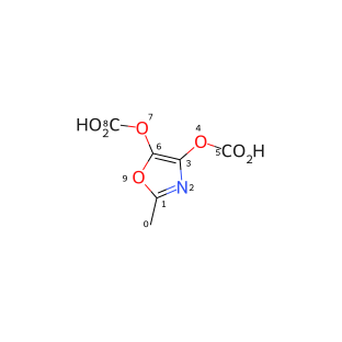 Cc1nc(OC(=O)O)c(OC(=O)O)o1